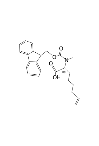 C=CCCCC[C@H](C(=O)O)N(C)C(=O)OCC1c2ccccc2-c2ccccc21